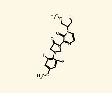 COCC(CO)n1ccnc(N2C[C@@H](c3c(F)cc(OC)cc3F)CC2=O)c1=O